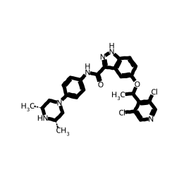 CC(Oc1ccc2[nH]nc(C(=O)Nc3ccc(N4C[C@@H](C)N[C@@H](C)C4)cc3)c2c1)c1c(Cl)cncc1Cl